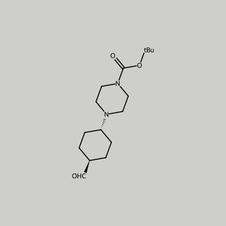 CC(C)(C)OC(=O)N1CCN([C@H]2CC[C@H](C=O)CC2)CC1